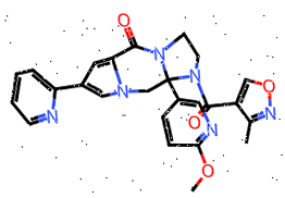 COc1ccc(C23Cn4cc(-c5ccccn5)cc4C(=O)N2CCN3C(=O)c2conc2C)cn1